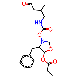 CCC(=O)OC1OCN(OC(=O)NCC(C)CC=O)C1Cc1ccccc1